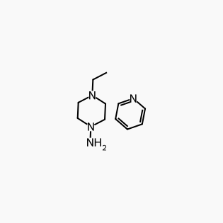 CCN1CCN(N)CC1.c1ccncc1